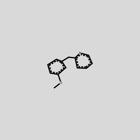 COc1cccc([CH]c2ccccn2)c1